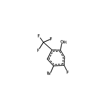 Oc1cc(F)c(Br)cc1C(F)(F)F